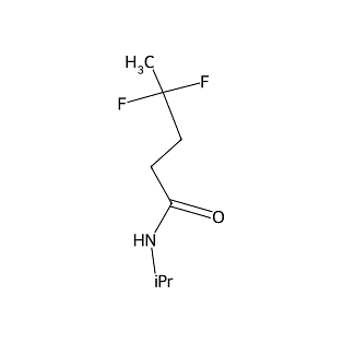 CC(C)NC(=O)CCC(C)(F)F